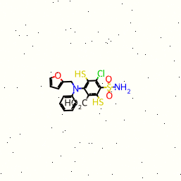 NS(=O)(=O)c1c(S)c(C(=O)O)c(N(Cc2ccco2)c2ccccc2)c(S)c1Cl